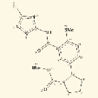 CCc1nsc(NC(=O)c2cc(C3CCCN3C(=O)OC(C)(C)C)ccc2SC)n1